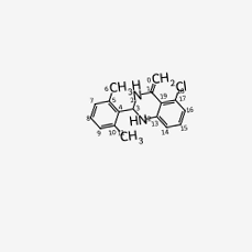 C=C1NC(c2c(C)cccc2C)Nc2cccc(Cl)c21